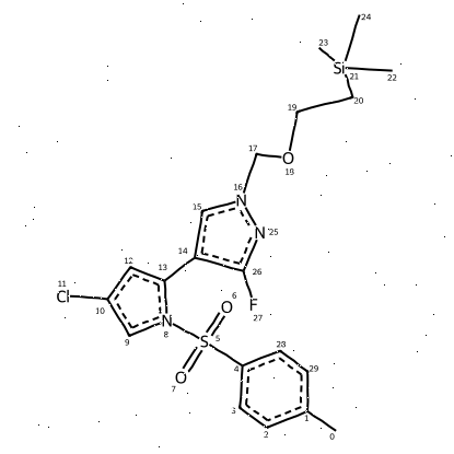 Cc1ccc(S(=O)(=O)n2cc(Cl)cc2-c2cn(COCC[Si](C)(C)C)nc2F)cc1